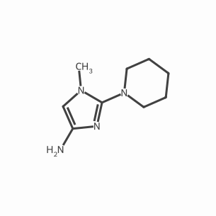 Cn1cc(N)nc1N1CCCCC1